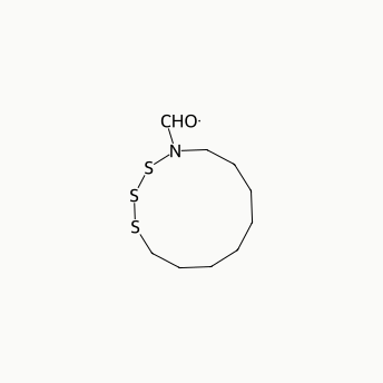 O=[C]N1CCCCCCCCSSS1